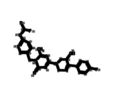 Cc1nc(N2CC=C(c3ccc(F)cc3)C(O)C2)nc(=O)n1Cc1ccc(OC(F)F)nc1